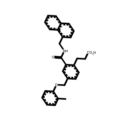 Cc1ccccc1OCc1ccc(CCC(=O)O)c(C(=O)NCc2cccc3ccccc23)c1